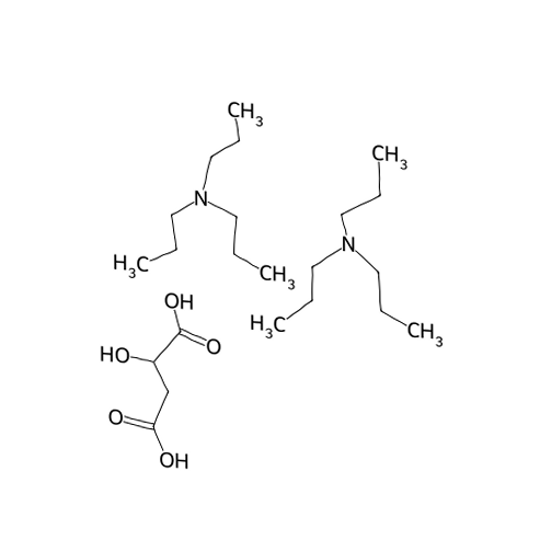 CCCN(CCC)CCC.CCCN(CCC)CCC.O=C(O)CC(O)C(=O)O